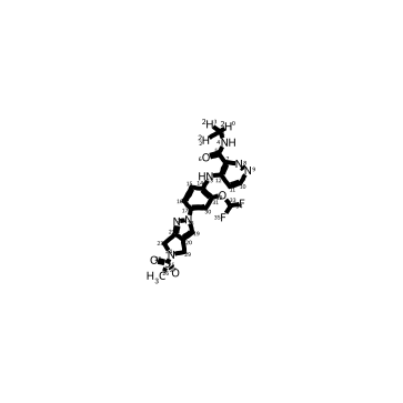 [2H]C([2H])([2H])NC(=O)c1nnccc1Nc1ccc(-n2cc3c(n2)CN(S(C)(=O)=O)C3)cc1OC(F)F